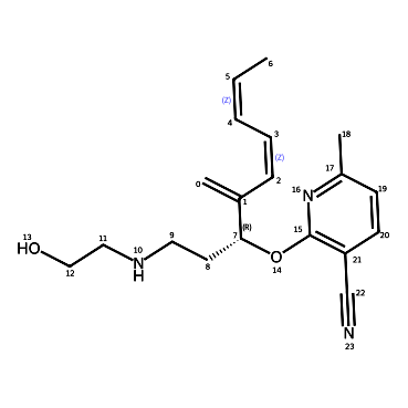 C=C(/C=C\C=C/C)[C@@H](CCNCCO)Oc1nc(C)ccc1C#N